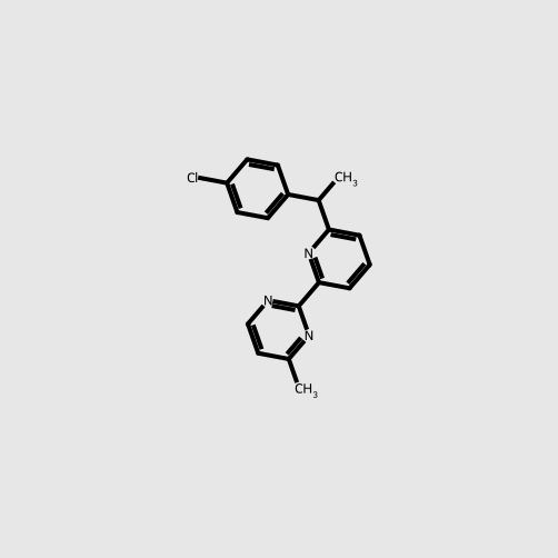 Cc1ccnc(-c2cccc(C(C)c3ccc(Cl)cc3)n2)n1